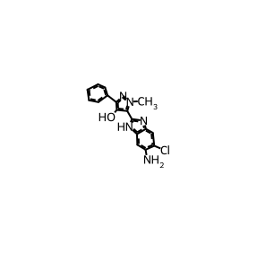 Cn1nc(-c2ccccc2)c(O)c1-c1nc2cc(Cl)c(N)cc2[nH]1